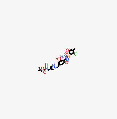 COc1cc(C)c(Cl)cc1S(=O)(=O)Nc1noc2cc(Cn3cc(CNC(=O)OC(C)(C)C)cn3)cc(OC)c12